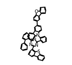 c1ccc(-c2ccccc2-c2nc(-c3ccccc3-n3c4ccccc4c4cc(-c5ccc6oc7ccccc7c6c5)ccc43)nc(-c3cccc4c3sc3ccccc34)n2)cc1